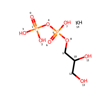 O=P(O)(O)OP(=O)(O)OCC(O)CO.[KH]